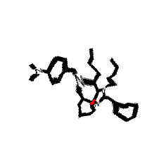 CCCCC(c1cnc(-c2ccccc2)n1CCCC)N(Cc1ccc(N(C)C)cc1)CC1CCCCC1